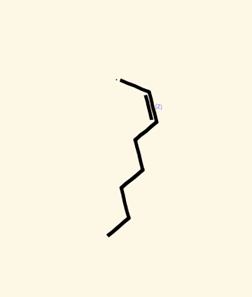 [CH2]/C=C\CCCCC